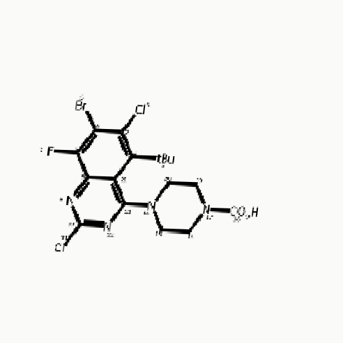 CC(C)(C)c1c(Cl)c(Br)c(F)c2nc(Cl)nc(N3CCN(C(=O)O)CC3)c12